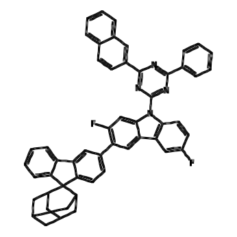 Fc1ccc2c(c1)c1cc(-c3ccc4c(c3)-c3ccccc3C43C4CC5CC(C4)CC3C5)c(F)cc1n2-c1nc(-c2ccccc2)nc(-c2ccc3ccccc3c2)n1